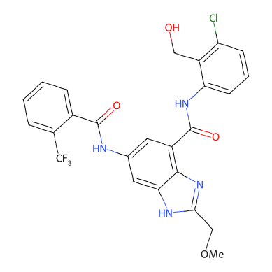 COCc1nc2c(C(=O)Nc3cccc(Cl)c3CO)cc(NC(=O)c3ccccc3C(F)(F)F)cc2[nH]1